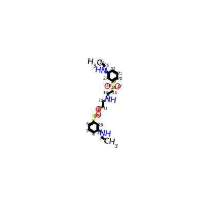 CCNc1cccc(SOOCCNCCS(=O)(=O)c2cccc(NCC)c2)c1